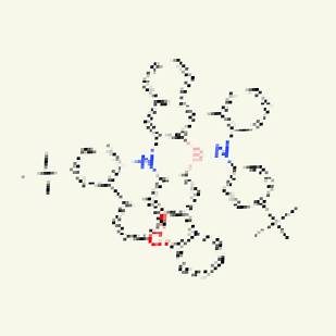 CC(C)(C)c1ccc(N2B3c4cc5c(cc4N(c4ccc(C(C)(C)C)cc4-c4ccccc4)c4cc6ccccc6c(c43)-c3ccccc32)oc2ccccc25)cc1